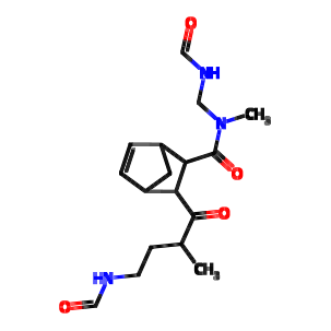 CC(CCNC=O)C(=O)C1C2C=CC(C2)C1C(=O)N(C)CNC=O